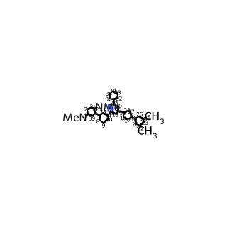 CNc1ccc(NC)c(-c2cccc(-c3cc(-c4ccc(-c5cc(C)cc(C)c5)cc4)cc(-c4ccccc4)n3)c2)c1